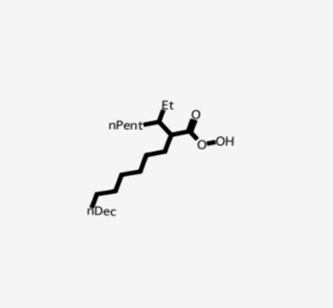 CCCCCCCCCCCCCCCCC(C(=O)OO)C(CC)CCCCC